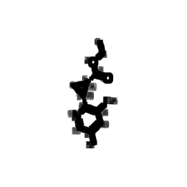 CCOC(=O)[C@H]1C[C@H]1c1ncc(C)cc1F